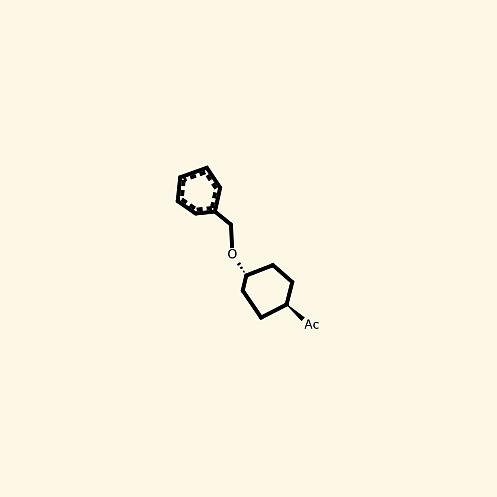 CC(=O)[C@H]1CC[C@H](OCc2ccccc2)CC1